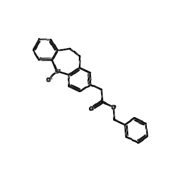 O=C(Cc1ccc2c(c1)CCc1ccccc1[S+]2[O-])OCc1ccccc1